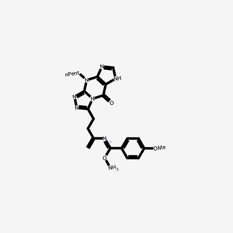 C=C(CCc1nnc2n(CCCCC)c3nc[nH]c3c(=O)n12)/N=C(\ON)c1ccc(OC)cc1